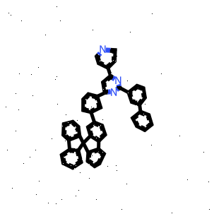 c1ccc(-c2cccc(-c3nc(-c4ccncc4)cc(-c4cccc(-c5ccc6c(c5)C5(c7ccccc7-c7ccccc75)c5ccccc5-6)c4)n3)c2)cc1